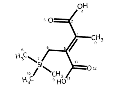 C/C(C(=O)O)=C(/C[Si](C)(C)C)C(=O)O